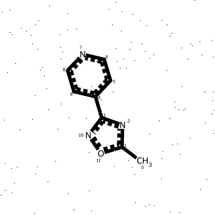 Cc1nc(-c2ccncc2)no1